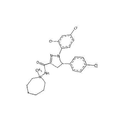 C[N+]1(NC(=O)C2=NN(c3ccc(Cl)cc3Cl)C(c3ccc(Cl)cc3)C2)CCCCCC1